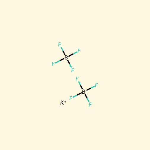 F[B-](F)(F)F.F[B-](F)(F)F.[K+]